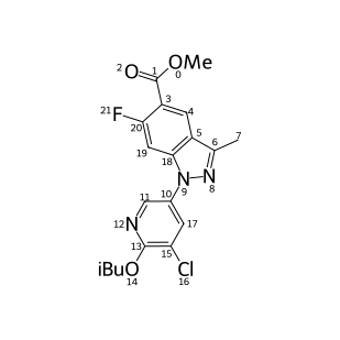 COC(=O)c1cc2c(C)nn(-c3cnc(OCC(C)C)c(Cl)c3)c2cc1F